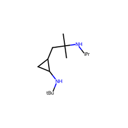 CC(C)NC(C)(C)CC1CC1NC(C)(C)C